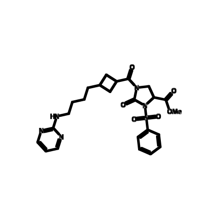 COC(=O)C1CN(C(=O)C2CC(CCCCNc3ncccn3)C2)C(=O)N1S(=O)(=O)c1ccccc1